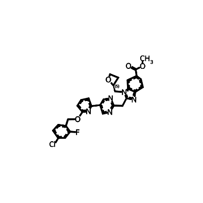 COC(=O)c1ccc2nc(Cc3ncc(-c4cccc(OCc5ccc(Cl)cc5F)n4)cn3)n(C[C@@H]3CCO3)c2c1